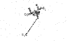 [2H]c1c(-c2ccc3c(c2)c2ccc([N+](=O)[O-])cc2n3-c2ccc(-c3ccccc3)cc2)c([2H])c2c3c([2H])c(-c4ccc5c(c4)c4ccc([N+](=O)[O-])cc4n5-c4ccc(-c5ccccc5)cc4)c([2H])c([2H])c3n(-c3ccc(OC#CC#CC#CC#CC#CC#CC#CC#CC#CC#CC#CC#CC)cc3)c2c1[2H]